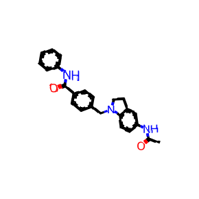 CC(=O)Nc1ccc2c(c1)CCN2Cc1ccc(C(=O)Nc2ccccc2)cc1